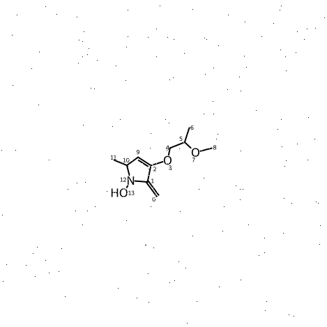 C=C1C(OCC(C)OC)=CC(C)N1O